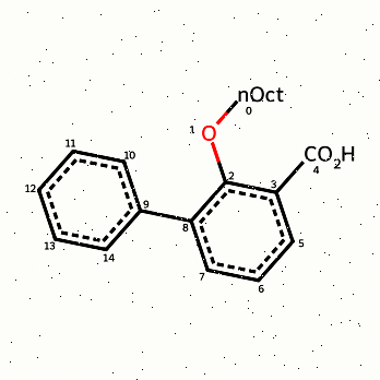 CCCCCCCCOc1c(C(=O)O)cccc1-c1ccccc1